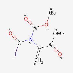 C=C(C(=O)OC)N(C(=O)I)C(=O)OC(C)(C)C